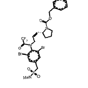 CNS(=O)(=O)Cc1cc(Br)c(N(C/C=C\[C@H]2CCCN2C(=O)OCc2ccccc2)C(=O)C(F)(F)F)c(Br)c1